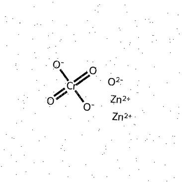 [O-2].[O]=[Cr](=[O])([O-])[O-].[Zn+2].[Zn+2]